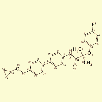 CC(C)(Oc1ccc(F)cc1)C(=O)Nc1ccc(-c2ccc(COC3CC3)cc2)cc1